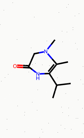 CC1=C(C(C)C)NC(=O)CN1C